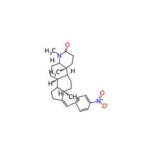 CN1C(=O)CC[C@]2(C)[C@H]3CC[C@]4(C)/C(=C\c5ccc([N+](=O)[O-])cc5)CC[C@H]4[C@@H]3CC[C@@H]12